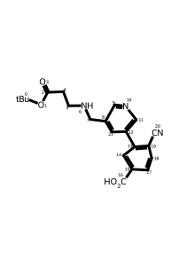 CC(C)(C)OC(=O)CCNCc1cncc(-c2cc(C(=O)O)ccc2C#N)c1